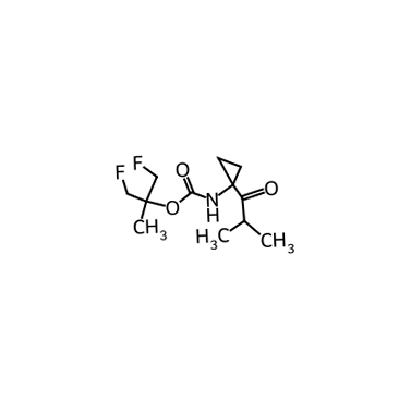 CC(C)C(=O)C1(NC(=O)OC(C)(CF)CF)CC1